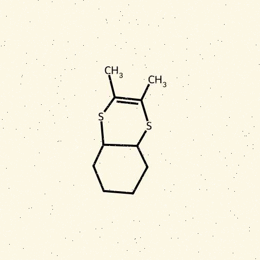 CC1=C(C)SC2CCCCC2S1